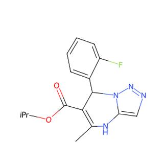 CC1=C(C(=O)OC(C)C)C(c2ccccc2F)n2nncc2N1